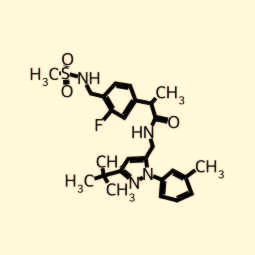 Cc1cccc(-n2nc(C(C)(C)C)cc2CNC(=O)C(C)c2ccc(CNS(C)(=O)=O)c(F)c2)c1